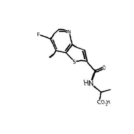 Cc1c(F)cnc2cc(C(=O)NC(C)C(=O)O)sc12